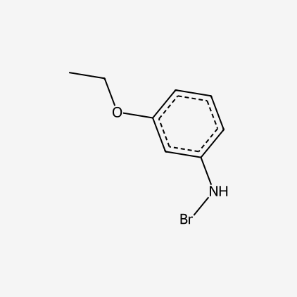 CCOc1cccc(NBr)c1